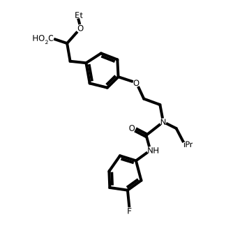 CCOC(Cc1ccc(OCCN(CC(C)C)C(=O)Nc2cccc(F)c2)cc1)C(=O)O